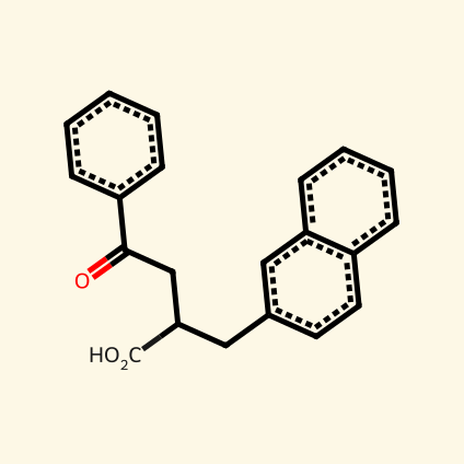 O=C(CC(Cc1ccc2ccccc2c1)C(=O)O)c1ccccc1